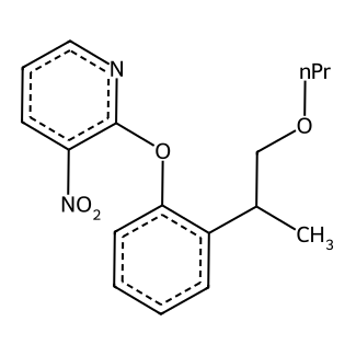 CCCOCC(C)c1ccccc1Oc1ncccc1[N+](=O)[O-]